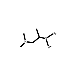 CC(C)N(C(C)C)C(C)CN(C)C